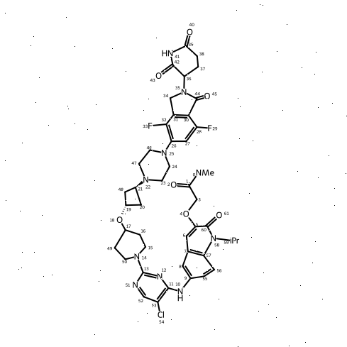 CNC(=O)COc1cc2cc(Nc3nc(N4CCC(O[C@H]5C[C@H](N6CCN(c7cc(F)c8c(c7F)CN(C7CCC(=O)NC7=O)C8=O)CC6)C5)CC4)ncc3Cl)ccc2n(C(C)C)c1=O